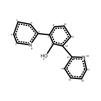 Oc1c(-c2ccccn2)cccc1-c1ccccn1